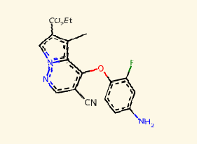 CCOC(=O)c1cn2ncc(C#N)c(Oc3ccc(N)cc3F)c2c1C